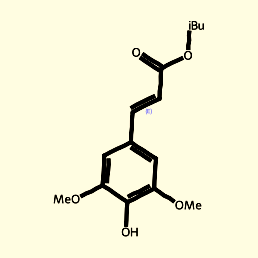 CCC(C)OC(=O)/C=C/c1cc(OC)c(O)c(OC)c1